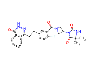 CC1(C)NC(=O)N(C2CN(C(=O)c3cc(CCc4n[nH]c(=O)c5ccccc45)ccc3F)C2)C1=O